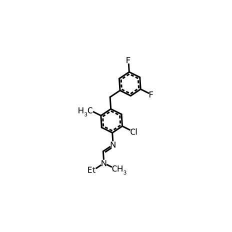 CCN(C)C=Nc1cc(C)c(Cc2cc(F)cc(F)c2)cc1Cl